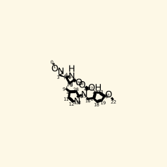 CON=C[C@H]1NC(=O)[C@@H]1Cc1ccnc(N(Cc2ccc(OC)cc2)C(=O)O)c1